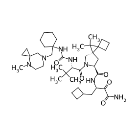 CN1CCN(CC2(NC(=O)N[C@H](C(=O)N3C[C@]4(C[C@H]3C(=O)NC(CC3CCC3)C(=O)C(N)=O)C(C)(C)C43CCC3)C(C)(C)C)CCCCC2)CC12CC2